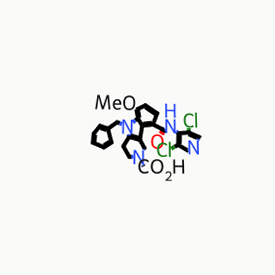 COc1ccc(C(=O)Nc2c(Cl)cncc2Cl)c2c3c(n(Cc4ccccc4)c12)CCN(C(=O)O)C3